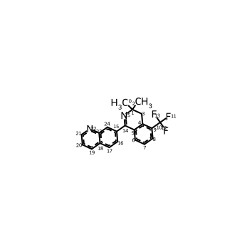 CC1(C)Cc2c(cccc2C(F)(F)F)C(c2ccc3cccnc3c2)=N1